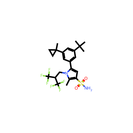 Cc1c(S(N)(=O)=O)cc(-c2cc(C(C)(C)C)cc(C3(C)CC3)c2)n1CC(C(F)(F)F)C(F)(F)F